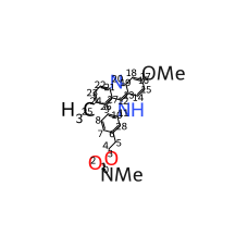 CNC(=O)OCCc1cccc(Nc2c3ccc(OC)cc3nc3ccc(C)cc23)c1